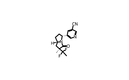 CC(F)(F)[C@@]1(C)C[C@@H]2CC[C@H](c3cncc(C#N)c3)N2C1=O